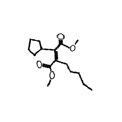 CCCCCC(C(=O)OC)=C(C(=O)OC)C1CCCC1